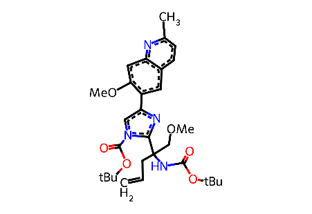 C=CCC(COC)(NC(=O)OC(C)(C)C)c1nc(-c2cc3ccc(C)nc3cc2OC)cn1C(=O)OC(C)(C)C